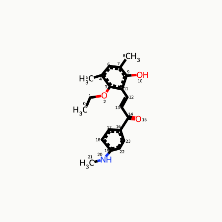 CCOc1c(C)cc(C)c(O)c1C=CC(=O)c1ccc(NC)cc1